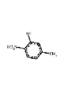 Cc1ccc(S(=O)(=O)O)c(N=O)c1